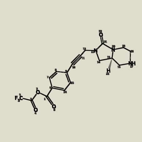 O=C(OC(=O)C(F)(F)F)c1ccc(C#CCN2C[C@@H]3CNCCN3C2=O)cc1